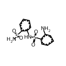 Nc1ccccc1S(=O)(=O)Nc1ccccc1S(N)(=O)=O